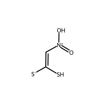 O=[N+](O)C=C([S-])S